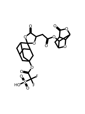 O=C(CC1OC2(OC1=O)C1CC3CC2CC(OC(=O)C(F)(F)S(=O)(=O)O)(C3)C1)OC1C2CC3C(=O)OC1C3O2